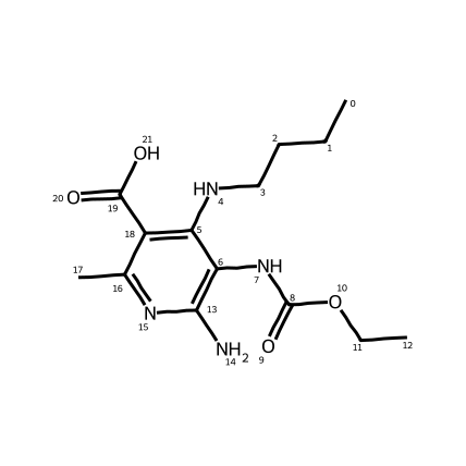 CCCCNc1c(NC(=O)OCC)c(N)nc(C)c1C(=O)O